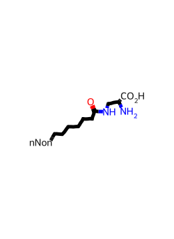 CCCCCCCCCCCCCCCC(=O)NCC(N)C(=O)O